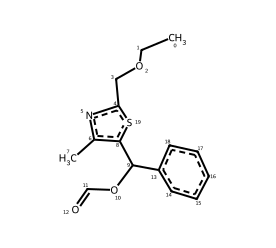 CCOCc1nc(C)c(C(OC=O)c2ccccc2)s1